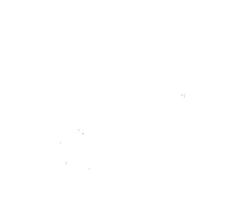 C=C/C(Br)=C\C(=C/C)CCCN1CCCC1